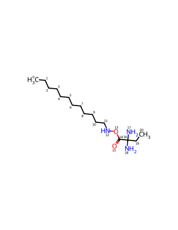 CCCCCCCCCCCCNOC(=O)C(N)(N)CC